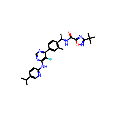 Cc1cc(-c2ncnc(Nc3ccc(C(C)C)cn3)c2F)ccc1[C@@H](C)NC(=O)c1nc(C(C)(C)C)no1